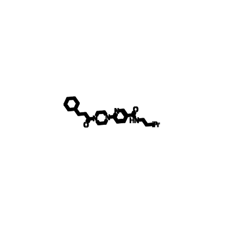 CC(C)CCNC(=O)c1ccc(N2CCN(C(=O)CCC3CCCCC3)CC2)nc1